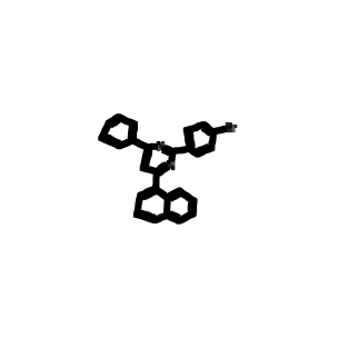 Brc1ccc(-c2nc(-c3ccccc3)cc(-c3cccc4ccccc34)n2)cc1